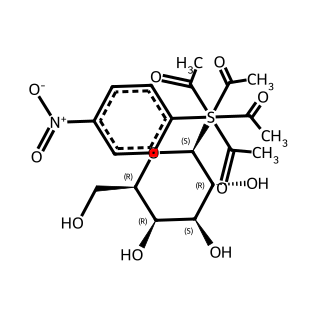 CC(=O)S(C(C)=O)(C(C)=O)(C(C)=O)(c1ccc([N+](=O)[O-])cc1)[C@@H]1O[C@H](CO)[C@H](O)[C@H](O)[C@H]1O